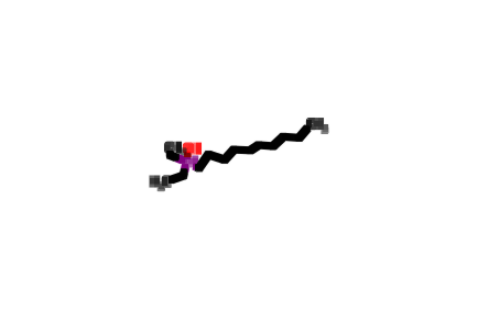 CCCCCCCCCC[PH](O)(CC)CC